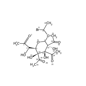 CC(=O)C(O)[C@H]1OC(OC(C)Br)[C@@](O)(C(C)=O)[C@](O)(C(C)=O)[C@]1(O)C(C)=O